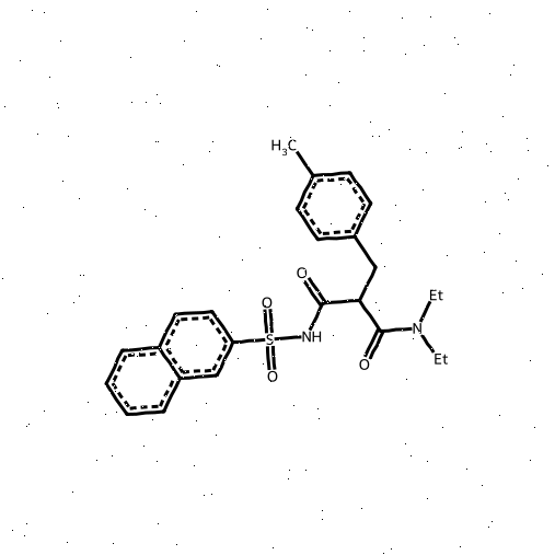 CCN(CC)C(=O)C(Cc1ccc(C)cc1)C(=O)NS(=O)(=O)c1ccc2ccccc2c1